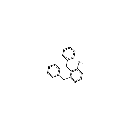 Nc1ccnc(Cc2ccccc2)c1Cc1ccccc1